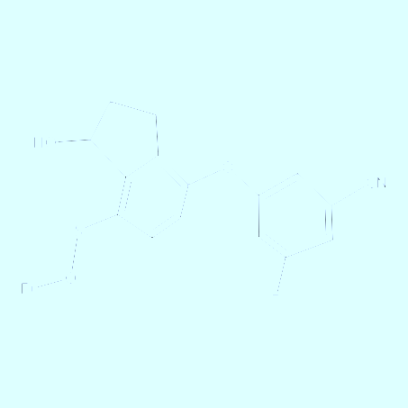 CCOSc1ccc(Oc2cc(F)cc(C#N)c2)c2c1C(O)CC2